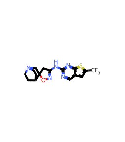 FC(F)(F)c1cc2cnc(NC3=NOC4(C3)CN3CCC4CC3)nc2s1